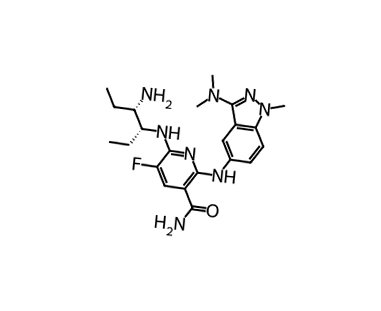 CC[C@H](N)[C@@H](CC)Nc1nc(Nc2ccc3c(c2)c(N(C)C)nn3C)c(C(N)=O)cc1F